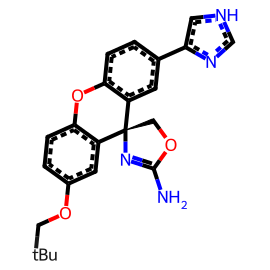 CC(C)(C)COc1ccc2c(c1)[C@]1(COC(N)=N1)c1cc(-c3c[nH]cn3)ccc1O2